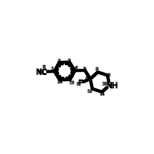 N#Cc1ccc(CC2(F)CCNCC2)cc1